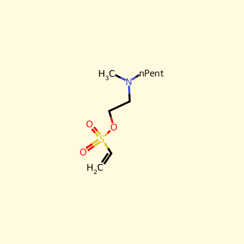 C=CS(=O)(=O)OCCN(C)CCCCC